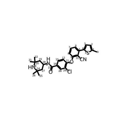 Cc1ccc(-c2cccc(Oc3ccc(C(=O)NC4CC(C)(C)NC(C)(C)C4)cc3Cl)c2C#N)s1